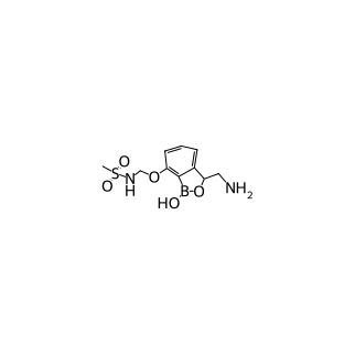 CS(=O)(=O)NCOc1cccc2c1B(O)OC2CN